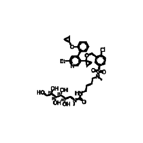 CCc1cc(-c2ccccc2OC2CC2)c(C2(OCc3cc(S(=O)(=O)N(C)CCCCNC(=O)N(C)C[C@H](O)[C@@H](O)[C@H](O)[C@H](O)CO)ccc3Cl)CC2)cn1